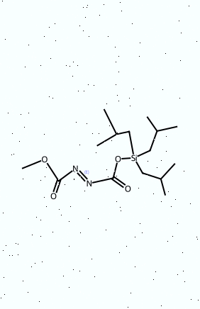 COC(=O)/N=N/C(=O)O[Si](CC(C)C)(CC(C)C)CC(C)C